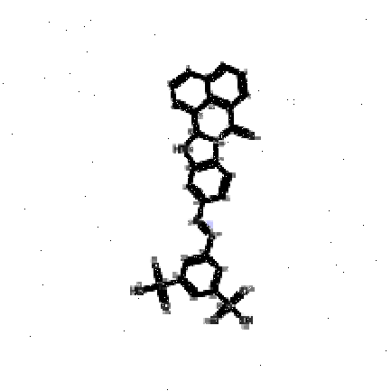 O=C1c2cccc3cccc(c23)C2Nc3cc(/N=N/c4cc(S(=O)(=O)O)cc(S(=O)(=O)O)c4)ccc3N12